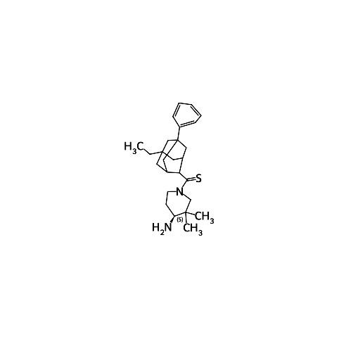 CCC12CC3CC(c4ccccc4)(CC(C1)C3C(=S)N1CC[C@H](N)C(C)(C)C1)C2